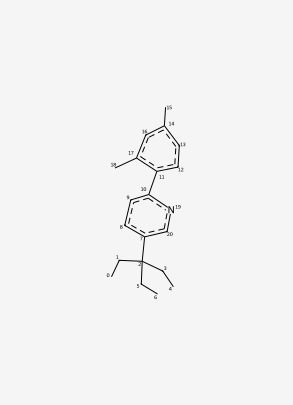 CCC(CC)(CC)c1ccc(-c2ccc(C)cc2C)nc1